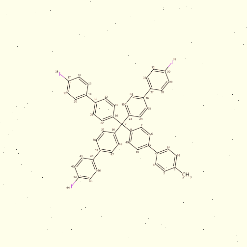 Cc1ccc(-c2ccc(C(c3ccc(-c4ccc(I)cc4)cc3)(c3ccc(-c4ccc(I)cc4)cc3)c3ccc(-c4ccc(I)cc4)cc3)cc2)cc1